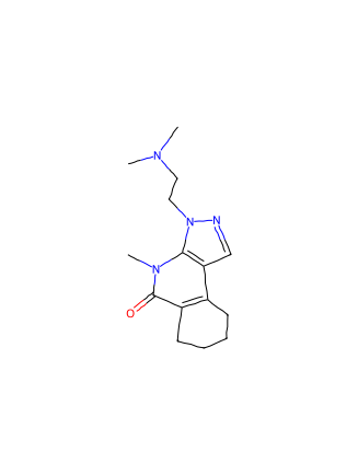 CN(C)CCn1ncc2c3c(c(=O)n(C)c21)CCCC3